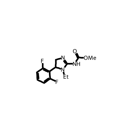 CCN1C(NC(=O)OC)=NCC1c1c(F)cccc1F